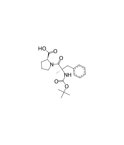 CC(C)(C)OC(=O)N[C@](C)(Cc1ccccc1)C(=O)N1CCC[C@H]1C(=O)O